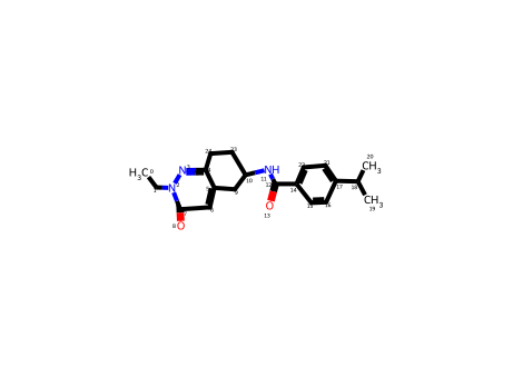 CCn1nc2c(cc1=O)CC(NC(=O)c1ccc(C(C)C)cc1)CC2